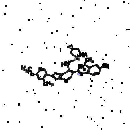 CCc1cc(O)ccc1/N=C(\N)c1cnn2cc(-c3cnc(OC)cc3C)cc2c1NC[C@@H]1CC2(CC2)CN1